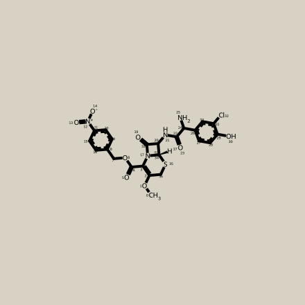 COC1=C(C(=O)OCc2ccc([N+](=O)[O-])cc2)N2C(=O)C(NC(=O)C(N)c3ccc(O)c(Cl)c3)[C@@H]2SC1